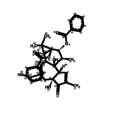 CC1=C[C@H]2[C@@]3(O)[C@H](C)[C@@H](OC(=O)c4ccccc4)[C@]4(OC(=O)c5ccccc5)[C@@H]([C@@H]3C=C(CO)C[C@]2(O)C1=O)C4(C)C